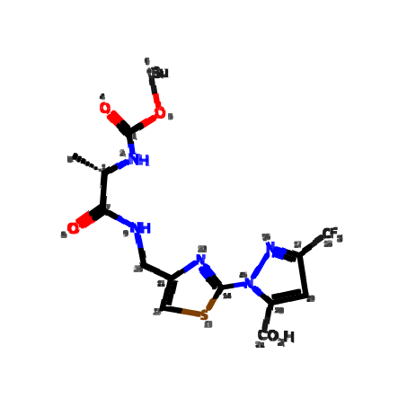 C[C@H](NC(=O)OC(C)(C)C)C(=O)NCc1csc(-n2nc(C(F)(F)F)cc2C(=O)O)n1